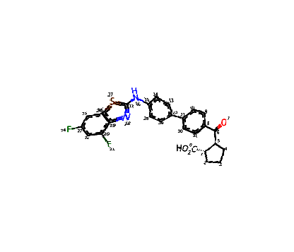 O=C(O)[C@H]1CCC[C@@H]1C(=O)c1ccc(-c2ccc(Nc3nc4c(F)cc(F)cc4s3)cc2)cc1